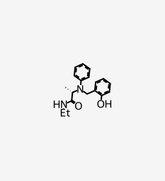 CCNC(=O)[C@H](C)N(Cc1ccccc1O)c1ccccc1